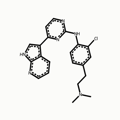 CN(C)CCc1ccc(Nc2nccc(-c3c[nH]c4ncccc34)n2)c(Cl)c1